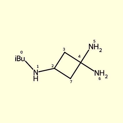 CCC(C)NC1CC(N)(N)C1